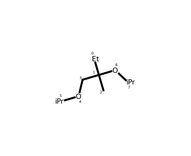 CCC(C)(COC(C)C)OC(C)C